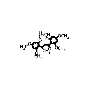 COc1cc(OC)c(C(=O)CC(C)c2c(OC)cc(OC)cc2OC)c(OC)c1